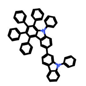 c1ccc(-c2c(-c3ccccc3)c(-c3ccccc3)c3c(c2-c2ccccc2)c2cc(-c4ccc5c6ccccc6n(-c6ccccc6)c5c4)ccc2n3-c2ccccc2)cc1